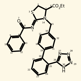 CCOC(=O)C1CSC(=NC(=O)c2ccccc2)N1Cc1ccc(-c2ccccc2-c2nnn[nH]2)cc1